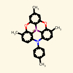 Cc1ccc(N2c3ccc(C)c4c3P3(=S)c5c(cc(C)cc5Oc5c(C)ccc2c53)O4)cc1